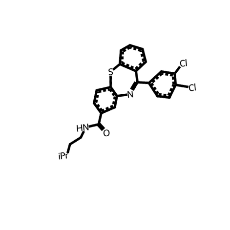 CC(C)CCNC(=O)c1ccc2c(c1)N=C(c1ccc(Cl)c(Cl)c1)c1ccccc1S2